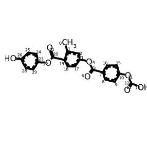 Cc1cc(OC(=O)c2ccc(OC(=O)O)cc2)ccc1C(=O)Oc1ccc(O)cc1